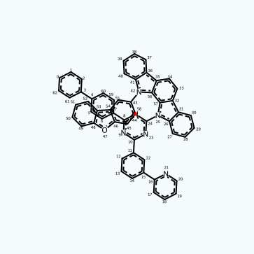 c1ccc(-c2ccc(-c3nc(-c4cccc(-c5ccccn5)c4)nc(-n4c5ccccc5c5ccc6c7ccccc7n(-c7ccc8oc9ccccc9c8c7)c6c54)n3)cc2)cc1